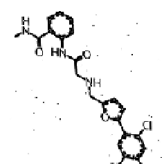 CNC(=O)c1ccccc1NC(=O)CNCc1ccc(-c2cc(Cl)c(C)cc2Cl)o1